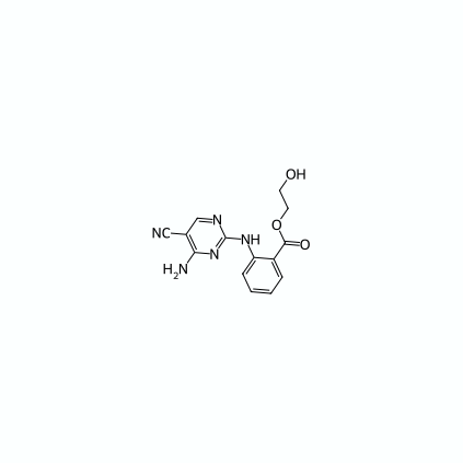 N#Cc1cnc(Nc2ccccc2C(=O)OCCO)nc1N